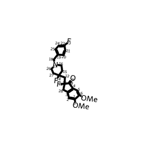 COc1cc2c(cc1OC)C(=O)C(F)(CC1(F)CCN(Cc3ccc(F)cc3)CC1)C2